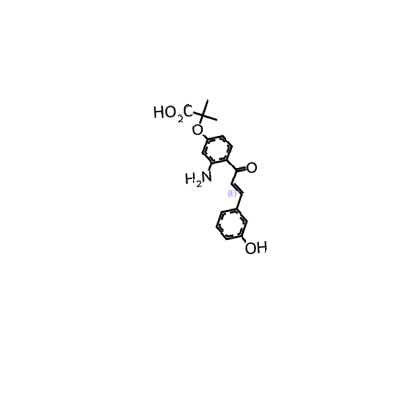 CC(C)(Oc1ccc(C(=O)/C=C/c2cccc(O)c2)c(N)c1)C(=O)O